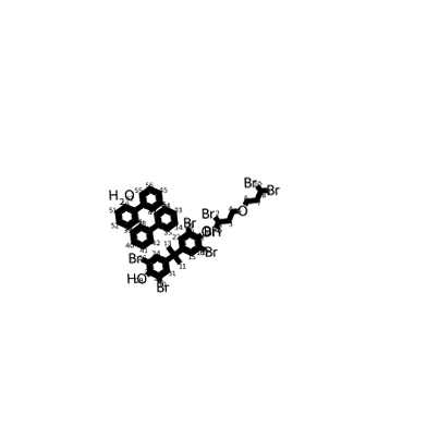 BrC(Br)CCOCCC(Br)Br.CC(C)(c1cc(Br)c(O)c(Br)c1)c1cc(Br)c(O)c(Br)c1.O.c1ccc(-c2ccccc2)cc1.c1ccc(-c2ccccc2)cc1